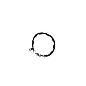 O=C1C=CC=CC=CC=CC=CC=CC=CC=NN=NO1